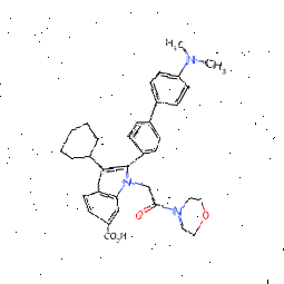 CN(C)c1ccc(-c2ccc(-c3c(C4CCCCC4)c4ccc(C(=O)O)cc4n3CC(=O)N3CCOCC3)cc2)cc1